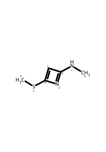 CNC1=NC(SC)=C1